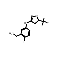 NCc1cc(NC2=NOC(C(F)(F)F)C2)ccc1F